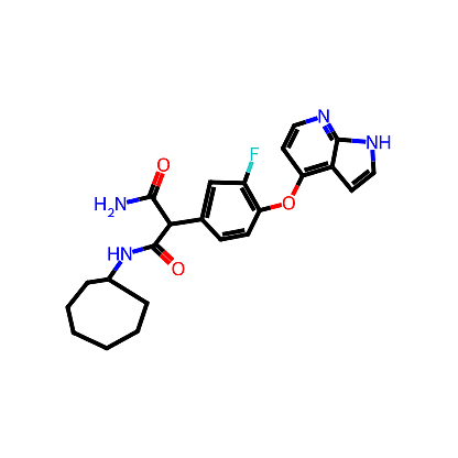 NC(=O)C(C(=O)NC1CCCCCC1)c1ccc(Oc2ccnc3[nH]ccc23)c(F)c1